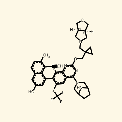 C#Cc1c(C)ccc2cc(O)cc(-c3c(SC(F)(F)F)cc4c(N5CC6CCC(C5)N6)nc(OCC5(CN6C[C@H]7COC[C@H]7C6)CC5)nc4c3F)c12